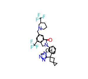 Cn1cnnc1C1(c2cccc(N3Cc4c(cc(CN5CCCC(C(F)(F)F)C5)cc4C(F)(F)F)C3=O)c2)CC2(CC2)C1